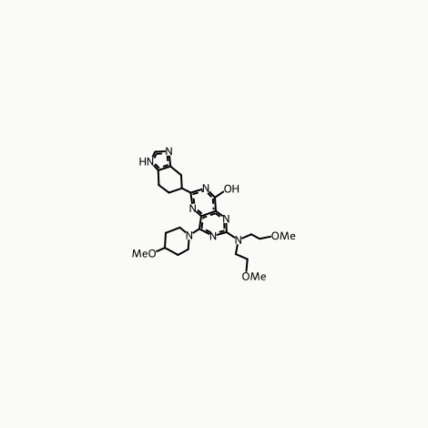 COCCN(CCOC)c1nc(N2CCC(OC)CC2)c2nc(C3CCc4[nH]cnc4C3)nc(O)c2n1